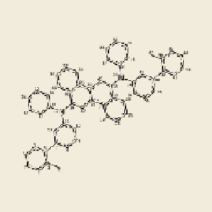 Cc1ccccc1-c1cccc(N(c2ccccc2)c2cc3c4ccccc4c(N(c4ccccc4)c4cccc(-c5ccccc5C)c4)cc3c3ccccc23)c1